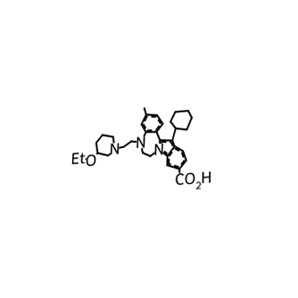 CCOC1CCCN(CCN2CCn3c(c(C4CCCCC4)c4ccc(C(=O)O)cc43)-c3ccc(C)cc32)C1